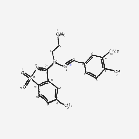 COCCN(/N=C/c1ccc(O)c(OC)c1)C1=NS(=O)(=O)c2ccc(C)cc21